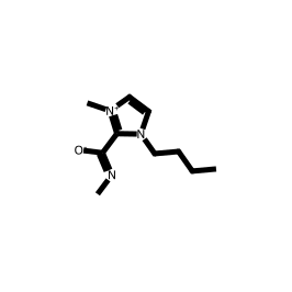 CCCCn1cc[n+](C)c1/C([O-])=N/C